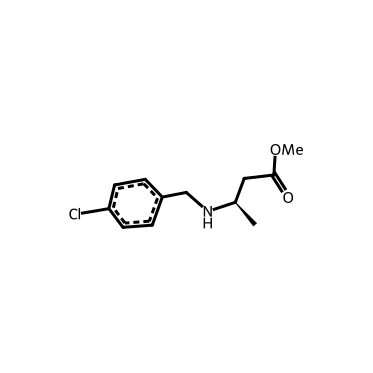 COC(=O)C[C@@H](C)NCc1ccc(Cl)cc1